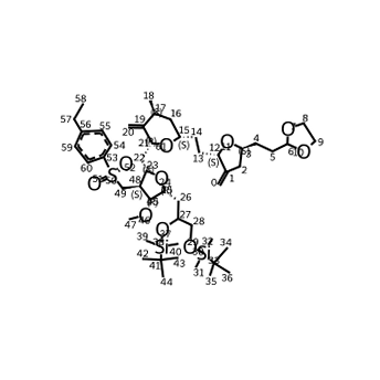 C=C1C[C@H](CCC2OCCO2)O[C@H]1CC[C@H]1C[C@H](C)C(=C)[C@@H](C[C@@H]2O[C@H](CC(CO[Si](C)(C)C(C)(C)C)O[Si](C)(C)C(C)(C)C)[C@H](OC)[C@H]2CS(=O)(=O)c2ccc(CC)cc2)O1